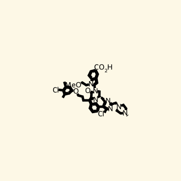 COCCn1c(N2C[C@@H](C)n3c(c(CCCOc4cc(C)c(Cl)c(C)c4)c4ccc(Cl)c(-c5c(C)nc(CN6CCN(C)CC6)nc5C)c43)C2=O)cc2cc(C(=O)O)ccc21